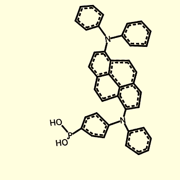 OP(O)c1ccc(N(c2ccccc2)c2ccc3ccc4c(N(c5ccccc5)c5ccccc5)ccc5ccc2c3c54)cc1